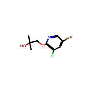 CC(C)(O)COc1ncc(Br)cc1Cl